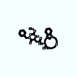 CC(C)(C)OC(=O)NC(CC(=O)N[C@H]1Cc2cn(c3ccccc23)CCOCCNC1=O)C(=O)OCc1ccccc1